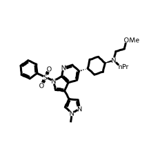 CCCN(CCOC)[C@H]1CC[C@H](c2cnc3c(c2)c(-c2cnn(C)c2)cn3S(=O)(=O)c2ccccc2)CC1